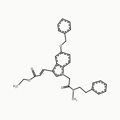 CCOC(=O)/C=C/c1cn(CC(=O)N(C)CCc2ccccc2)c2ccc(OCc3ccccc3)cc12